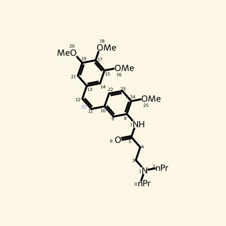 CCCN(CCC)CCC(=O)Nc1cc(/C=C\c2cc(OC)c(OC)c(OC)c2)ccc1OC